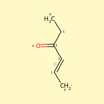 [CH2]/C=C/C(=O)CC